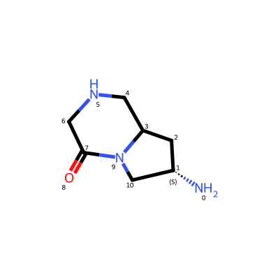 N[C@H]1CC2CNCC(=O)N2C1